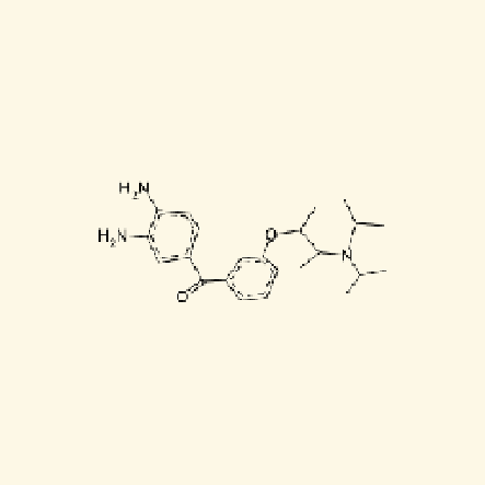 CC(Oc1cccc(C(=O)c2ccc(N)c(N)c2)c1)C(C)N(C(C)C)C(C)C